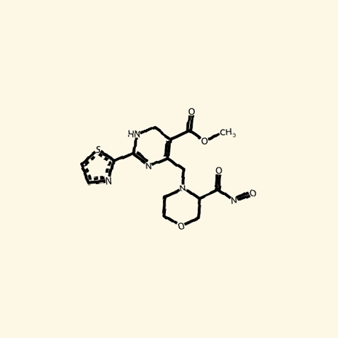 COC(=O)C1=C(CN2CCOCC2C(=O)N=O)N=C(c2nccs2)NC1